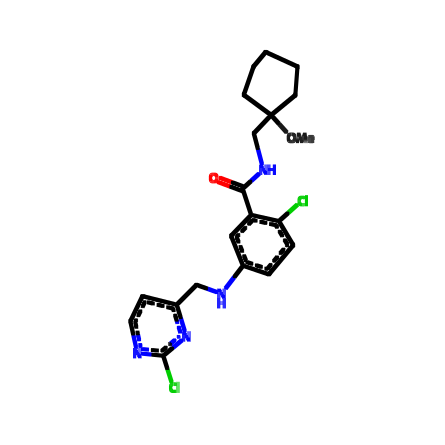 COC1(CNC(=O)c2cc(NCc3ccnc(Cl)n3)ccc2Cl)CCCCC1